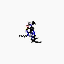 COc1c(C)cnc(CN2N=C3C[C@@H](N(C(=O)C(F)(F)F)C4CC4)C4=C3C(=N2)C(N(C(=O)O)C(=O)O)=NSC4)c1C